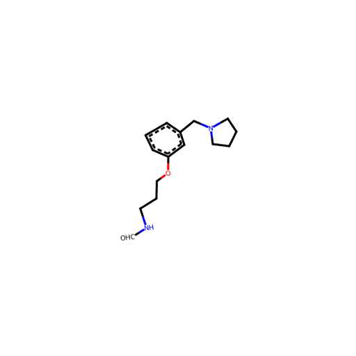 O=CNCCCOc1cccc(CN2CCCC2)c1